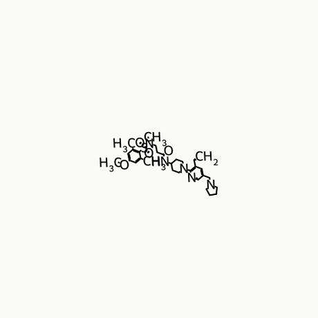 C=Cc1cc(CN2CCCC2)cnc1N1CCC(NC(=O)CCN(C)S(=O)(=O)c2c(C)cc(OC)cc2C)CC1